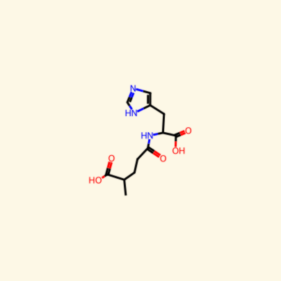 CC(CCC(=O)NC(Cc1cnc[nH]1)C(=O)O)C(=O)O